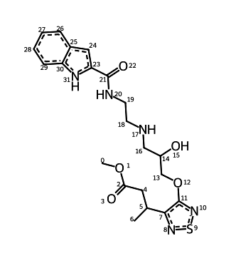 COC(=O)CC(C)c1nsnc1OCC(O)CNCCNC(=O)c1cc2ccccc2[nH]1